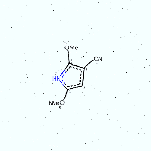 COc1cc(C#N)c(OC)[nH]1